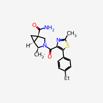 [CH2][C@H]1[C@H]2C[C@]2(C(N)=O)CN1C(=O)c1nc(C)sc1-c1ccc(CC)cc1